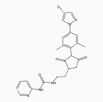 Cc1cc(-n2cc(Cl)cn2)cc(C)c1C1C(=O)CC(CCNC(=O)Nc2ccccn2)C1=O